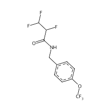 O=C(NCc1ccc(OC(F)(F)F)cc1)C(F)C(F)F